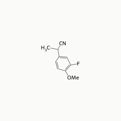 COc1ccc(C(C)C#N)cc1F